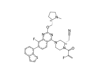 C=C(F)C(=O)N1CCN(c2nc(OC[C@@H]3CCCN3C)nc3c(F)c(-c4cccc5ccsc45)ccc23)C[C@@H]1CC#N